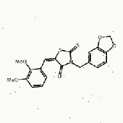 COc1cccc(/C=C2/SC(=S)N(Cc3ccc4c(c3)OCO4)C2=O)c1OC